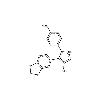 CSc1ccc(-c2[nH]nc(C(F)(F)F)c2-c2ccc3c(c2)OCO3)cc1